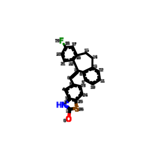 O=c1[nH]c2cc(/C=C3\c4ccccc4CCc4cc(F)ccc43)ccc2s1